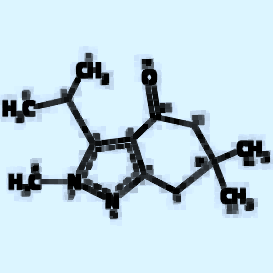 CC(C)c1c2c(nn1C)CC(C)(C)CC2=O